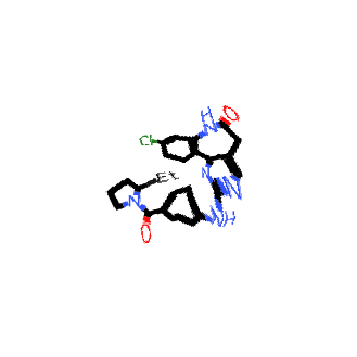 CCC1CCCN1C(=O)c1ccc(Nc2ncc3c(n2)-c2ccc(Cl)cc2NC(=O)C3)cc1